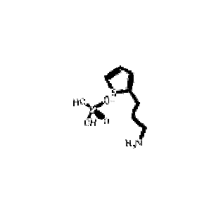 NCCCc1cccs1.O=P(O)(O)O